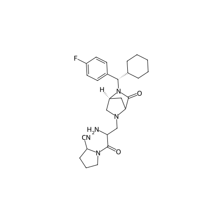 N#CC1CCCN1C(=O)C(N)CN1C[C@@H]2CC1C(=O)N2[C@H](c1ccc(F)cc1)C1CCCCC1